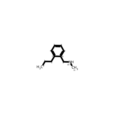 CCCc1ccccc1CNC